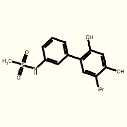 CC(C)c1cc(-c2cccc(NS(C)(=O)=O)c2)c(O)cc1O